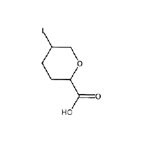 O=C(O)C1CCC(I)CO1